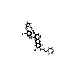 COc1cc2cc3c(Nc4ccc(Sc5nccn5C)c(Cl)c4)c(C#N)cnc3nc2cc1OCCN1CCOCC1